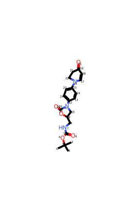 CC(C)(C)OC(=O)NCC1CN(c2ccc(N3C=CC(=O)CC3)cc2)C(=O)O1